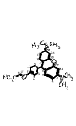 CN(C)c1ccc2c(-c3ccc(OCC(=O)O)cc3)c3ccc(=[N+](C)C)cc-3oc2c1